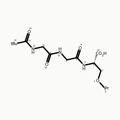 CC(C)OC[C@H](NC(=O)CNC(=O)CNC(=O)C(C)(C)C)C(=O)O